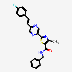 Cc1nc(-c2cnc(C=Cc3ccc(F)cc3)cn2)sc1C(=O)NCc1ccccc1